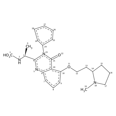 C[C@H](NC(=O)O)c1nc2cccc(OCCC3CCCN3C)c2c(=O)n1-c1ccccc1